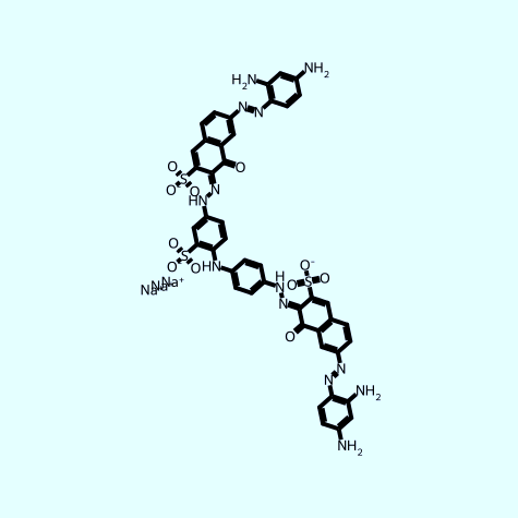 Nc1ccc(N=Nc2ccc3c(c2)C(=O)/C(=N/Nc2ccc(Nc4ccc(N/N=C5/C(=O)c6cc(N=Nc7ccc(N)cc7N)ccc6C=C5S(=O)(=O)[O-])cc4S(=O)(=O)[O-])cc2)C(S(=O)(=O)[O-])=C3)c(N)c1.[Na+].[Na+].[Na+]